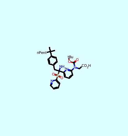 CCCCCC(C)(C)c1ccc(CC(N)(c2cccc(N(CC(=O)O)C(=O)OC(C)(C)C)n2)S(=O)(=O)c2ccccn2)cc1